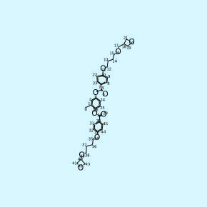 Cc1cc(OC(=O)c2ccc(OCCCCOCC3COC3)cc2)ccc1OC(=O)c1ccc(OCCCCOC2COC2)cc1